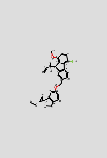 C=CC(C)(C)C1c2cc(COc3ccc4c(c3)[C@]3(CC4)C[C@H]3CC)ccc2-c2c(F)ccc(OC)c21